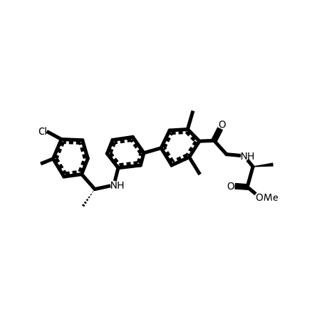 COC(=O)[C@H](C)NCC(=O)c1c(C)cc(-c2cccc(N[C@H](C)c3ccc(Cl)c(C)c3)c2)cc1C